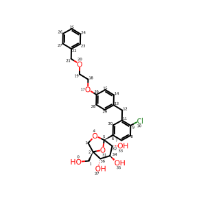 OC[C@@]12CO[C@@](c3ccc(Cl)c(Cc4ccc(OCCOCc5ccccc5)cc4)c3)(O1)[C@H](O)[C@@H](O)[C@@H]2O